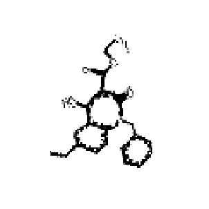 CCOC(=O)c1c(O)c2cc(CI)ccc2n(Cc2ccccc2)c1=O